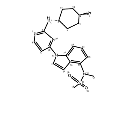 CC(C)[C@H]1CC[C@H](Nc2nccc(-n3ccc4c(N(C)S(C)(=O)=O)cccc43)n2)CC1